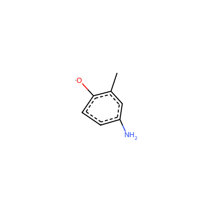 Cc1cc(N)ccc1[O]